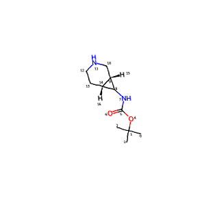 CC(C)(C)OC(=O)NC1[C@H]2CNCC[C@@H]12